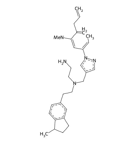 C=CCC(=C)/C(=C\C(=C/C)n1cc(CN(CCN)CCc2ccc3c(c2)CCC3C)cn1)NC